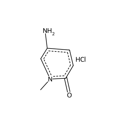 Cl.Cn1cc(N)ccc1=O